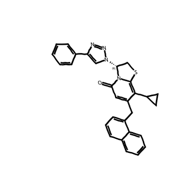 O=c1cc(Cc2cccc3ccccc23)c(C2CC2)c2n1[C@H](n1cc(-c3ccccc3)nn1)CS2